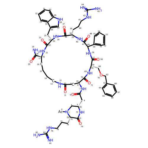 CC(=O)N1C[C@H](CC(=O)N[C@H]2CC(=O)NCCCC[C@@H](C(N)=O)NC(=O)[C@H](Cc3c[nH]c4ccccc34)NC(=O)[C@H](CCCNC(=N)N)NC(=O)C(c3ccccc3)NC(=O)[C@H](COCc3ccccc3)NC2=O)NC(=O)[C@@H]1CCCNC(=N)N